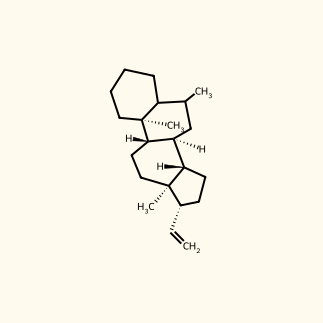 C=C[C@H]1CC[C@H]2[C@@H]3CC(C)C4CCCC[C@]4(C)[C@H]3CC[C@]12C